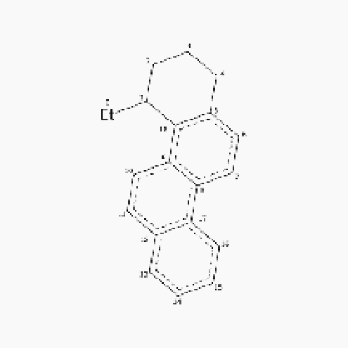 CCC1CCCc2ccc3c(ccc4ccccc43)c21